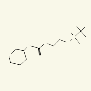 CC(C)(C)[Si](C)(C)OCCOC(=O)NC1CCCNC1